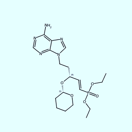 CCOP(=O)(C=C[C@@H](CCn1cnc2c(N)ncnc21)O[C@H]1CCCCO1)OCC